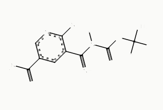 CN(C(=N)c1cc(C(N)=O)cnc1N)C(=O)OC(C)(C)C